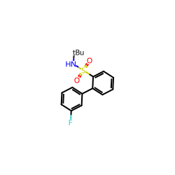 CC(C)(C)NS(=O)(=O)c1ccccc1-c1cccc(F)c1